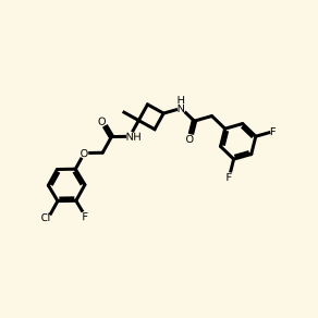 CC1(NC(=O)COc2ccc(Cl)c(F)c2)CC(NC(=O)Cc2cc(F)cc(F)c2)C1